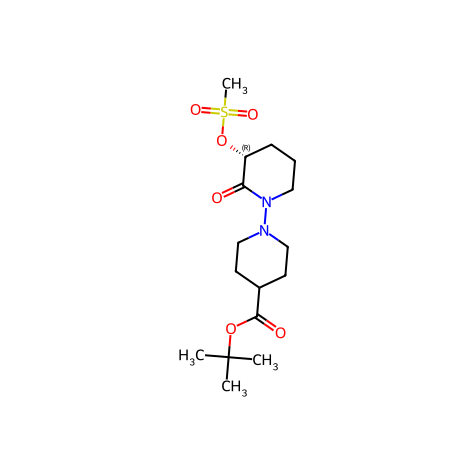 CC(C)(C)OC(=O)C1CCN(N2CCC[C@@H](OS(C)(=O)=O)C2=O)CC1